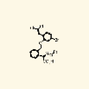 CCON=C(C(=O)O)c1ccccc1COc1cc(Br)ccc1C=C(Cl)Cl